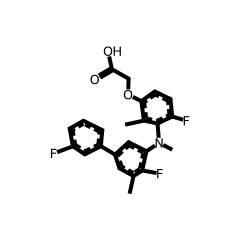 Cc1cc(-c2cccc(F)c2)cc(N(C)c2c(F)ccc(OCC(=O)O)c2C)c1F